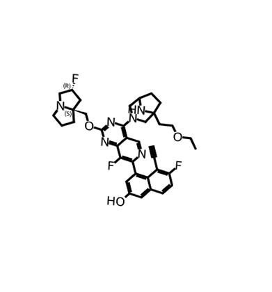 C#Cc1c(F)ccc2cc(O)cc(-c3ncc4c(N5CC6CCC(CCOCC)(C5)N6)nc(OC[C@@]56CCCN5C[C@H](F)C6)nc4c3F)c12